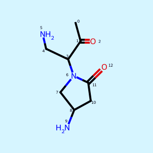 CC(=O)C(CN)N1CC(N)CC1=O